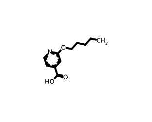 CCCCCOc1cc(C(=O)O)ccn1